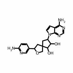 Nc1ccc(C2CC3(CO2)CC(n2ccc4c(N)ncnc42)C(O)C3O)cn1